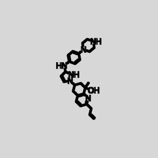 C=CCc1ccc2c(n1)C(C)(O)CC(N1C=CC(Nc3ccc(N4CCNCC4)cc3)N1)C2